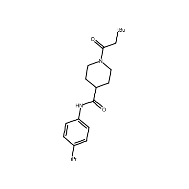 CC(C)c1ccc(NC(=O)C2CCN(C(=O)CC(C)(C)C)CC2)cc1